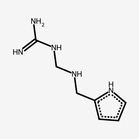 N=C(N)NCNCc1ccc[nH]1